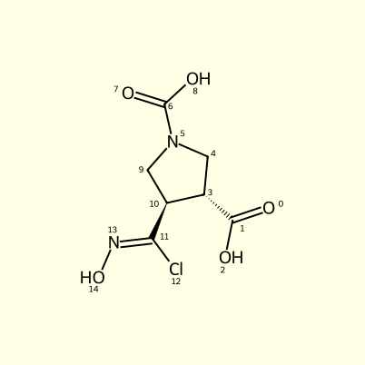 O=C(O)[C@H]1CN(C(=O)O)C[C@@H]1C(Cl)=NO